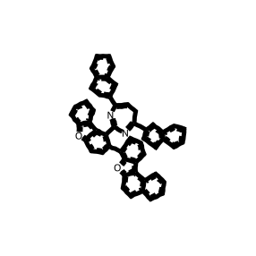 C1=C(c2ccc3ccccc3c2)N=C(c2c(-c3cccc4c3oc3ccc5ccccc5c34)ccc3oc4ccccc4c23)N=C(c2ccc3ccccc3c2)C1